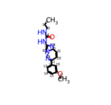 CCCNC(=O)Nc1cn2nc(-c3cccc(OC)c3)ccc2n1